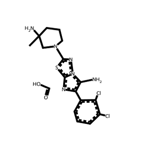 CC1(N)CCCN(c2nn3c(N)c(-c4cccc(Cl)c4Cl)nc3s2)C1.O=CO